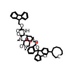 C[C@H](NC(=O)OCC1c2ccccc2-c2ccccc21)C(=O)N(C)[C@H](C(=O)N(C)[C@@H](CC(=O)OC(c1ccccc1)(c1ccc(C2CCCCCCCC2)cc1)c1ccccc1Cl)C(=O)N(C)C)C1CCCC1